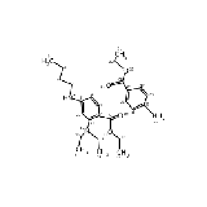 CCCCNc1ccc(C(=O)OCC)c(N(CC)CC)c1.CCOC(=O)c1ccc(N)cc1